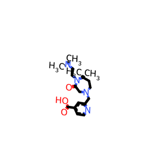 CN(C)CCN1C(=O)CN(Cc2cc(C(=O)O)ccn2)CCC1(C)C